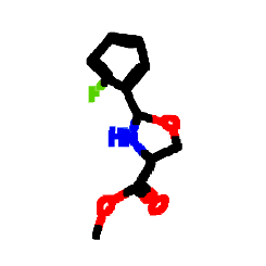 COC(=O)C1COC(c2ccccc2F)N1